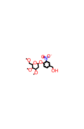 COCC1OC(Oc2ccc(CO)cc2[N+](=O)[O-])CC(OC)C1OC